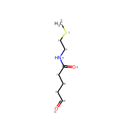 CSCCNC(=O)CCCC=O